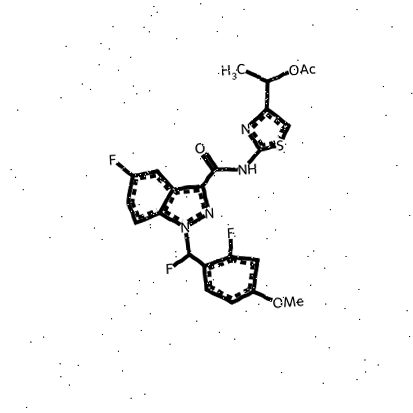 COc1ccc(C(F)n2nc(C(=O)Nc3nc(C(C)OC(C)=O)cs3)c3cc(F)ccc32)c(F)c1